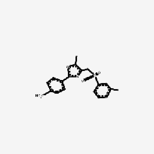 Cc1cccc(S(=O)(=O)Cc2nc(-c3ccc(C(=O)O)cc3)oc2C)c1